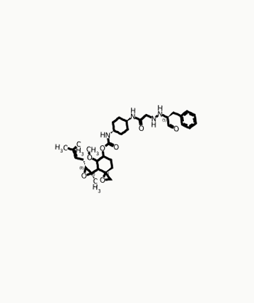 COC1C(OC(=O)N[C@H]2CC[C@H](NC(=O)CNN[C@H](C=O)Cc3ccccc3)CC2)CC[C@]2(CO2)C1[C@@]1(C)O[C@@H]1CC=C(C)C